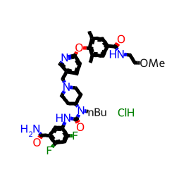 CCCCN(C(=O)Nc1cc(C(N)=O)c(F)cc1F)C1CCN(Cc2ccc(Oc3c(C)cc(C(=O)NCCOC)cc3C)nc2)CC1.Cl